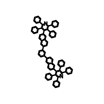 c1ccc(-c2nc(-c3ccccc3)c(-c3ccccc3)c(-c3ccc4cc(-c5cccc(-c6ccc7cc(-c8c(-c9ccccc9)c(-c9ccccc9)nc(-c9ccccc9)c8-c8ccccc8)ccc7c6)c5)ccc4c3)c2-c2ccccc2)cc1